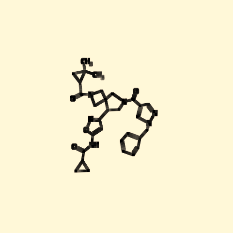 CC1(C)CC1C(=O)N1CC2(CN(C(=O)c3cnn(Cc4ccccc4)c3)CC2c2cc(NC(=O)C3CC3)on2)C1